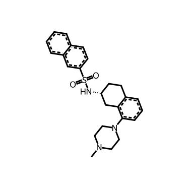 CN1CCN(c2cccc3c2C[C@H](NS(=O)(=O)c2ccc4ccccc4c2)CC3)CC1